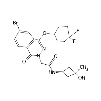 C[C@]1(O)C[C@@H](NC(=O)Cn2nc(OC3CCC(F)(F)CC3)c3cc(Br)ccc3c2=O)C1